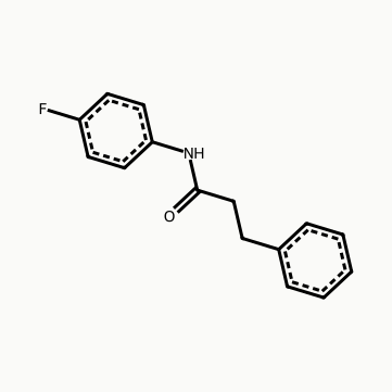 O=C(CCc1ccccc1)Nc1ccc(F)cc1